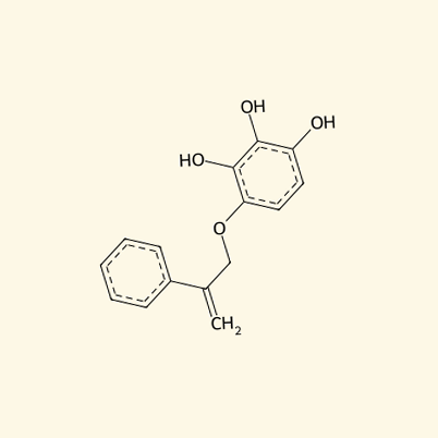 C=C(COc1ccc(O)c(O)c1O)c1ccccc1